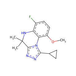 COc1ccc(F)c2c1-n1c(C3CC3)nnc1C(C)(C)N2